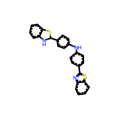 c1ccc2c(c1)NC(c1ccc(Nc3ccc(-c4nc5ccccc5s4)cc3)cc1)S2